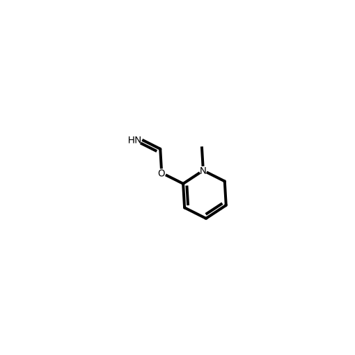 CN1CC=CC=C1OC=N